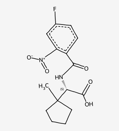 CC1([C@H](NC(=O)c2ccc(F)cc2[N+](=O)[O-])C(=O)O)CCCC1